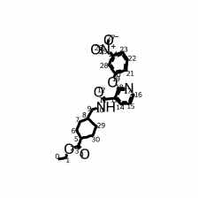 CCOC(=O)C1CCC(CNC(=O)c2cccnc2Oc2cccc([N+](=O)[O-])c2)CC1